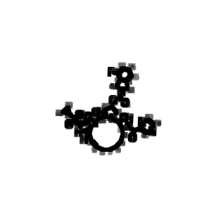 O=C(N[C@H]1CCCCC/C=C\[C@@H]2C[C@@]2(C(=O)NS(=O)(=O)C2CC2)NC(=O)[C@@H]2C[C@@H](OC(=O)N3Cc4cccc(F)c4C3)CN2C1=O)c1cnccn1